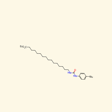 CCOC(=O)CCCCCCCCCCCCCCCNC(=O)Nc1ccc(C(C)(C)C)cc1